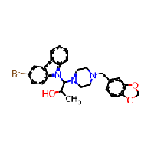 CC(O)C(N1CCN(Cc2ccc3c(c2)OCO3)CC1)n1c2ccccc2c2cc(Br)ccc21